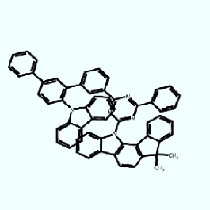 CC1(C)c2ccccc2-c2c1ccc1c3ccccc3n(-c3nc(-c4ccccc4)nc(-c4cccc(-c5cc(-c6ccccc6)ccc5-n5c6ccccc6c6ccccc65)c4)n3)c21